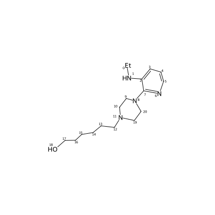 CCNc1cccnc1N1CCN(CCCCCCO)CC1